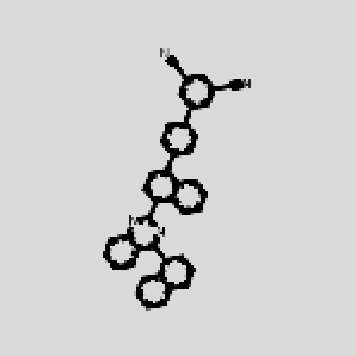 N#Cc1cc(C#N)cc(-c2ccc(-c3ccc(-c4nc(-c5cccc6ccccc56)c5ccccc5n4)c4ccccc34)cc2)c1